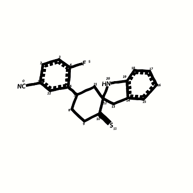 N#Cc1ccc(F)c(C2CCC(=S)C3(Cc4ccccc4N3)C2)c1